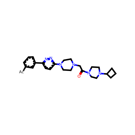 CC(=O)c1cccc(-c2ccc(N3CCN(CC(=O)N4CCN(C5CCC5)CC4)CC3)nn2)c1